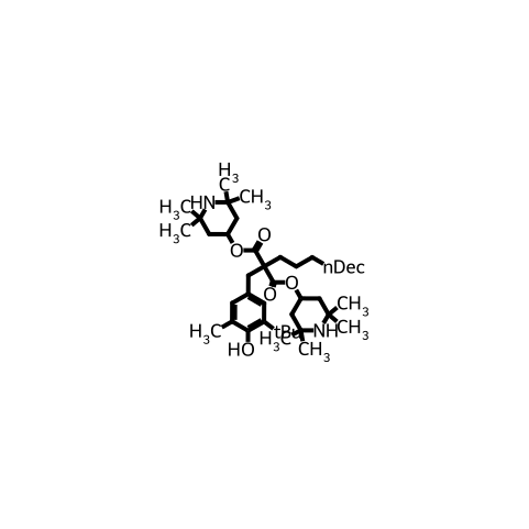 CCCCCCCCCCCCCC(Cc1cc(C)c(O)c(C(C)(C)C)c1)(C(=O)OC1CC(C)(C)NC(C)(C)C1)C(=O)OC1CC(C)(C)NC(C)(C)C1